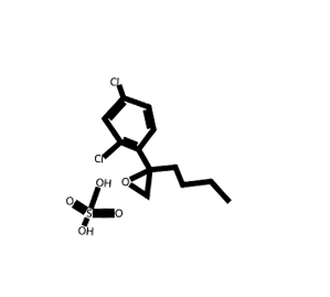 CCCCC1(c2ccc(Cl)cc2Cl)CO1.O=S(=O)(O)O